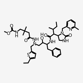 CCc1ccc(CN(CC(O)C(Cc2ccccc2)NC(=O)C(C(C)CC)C2CNC(=O)N2Cc2cccc(C)n2)NC(=O)CC(C)(C)CNC(=O)OC)s1